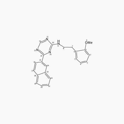 COc1ccccc1CCNc1ncnc(-c2ccc3ccccc3c2)n1